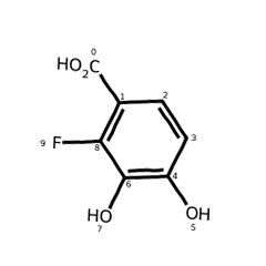 O=C(O)c1ccc(O)c(O)c1F